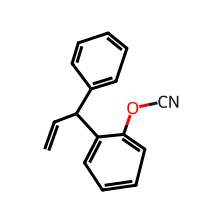 C=CC(c1ccccc1)c1ccccc1OC#N